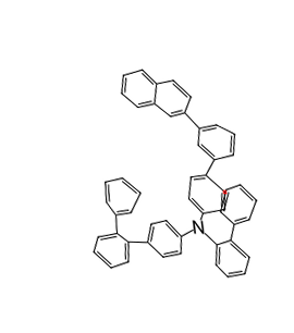 c1ccc(-c2ccccc2-c2ccc(N(c3ccc(-c4cccc(-c5ccc6ccccc6c5)c4)cc3)c3ccccc3-c3ccccc3)cc2)cc1